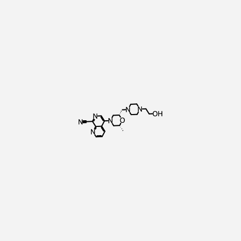 C[C@@H]1CN(c2cnc(C#N)c3ncccc23)C[C@H](CN2CCN(CCO)CC2)O1